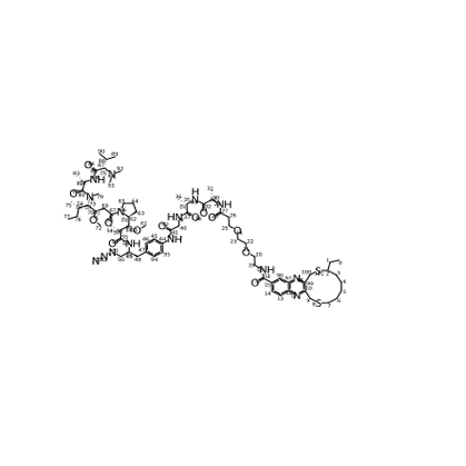 CCC1CCCCCSCc2nc3ccc(C(=O)NCCOCCOCCC(=O)N[C@@H](C)C(=O)N[C@@H](C)C(=O)NCC(=O)Nc4ccc(C[C@@H](CN=[N+]=[N-])NC(=O)[C@H](C)[C@@H](OC)[C@@H]5CCCN5C(=O)C[C@@H](OC)[C@H]([C@@H](C)CC)N(C)C(=O)[C@H](C)NC(=O)[C@H](C(C)C)N(C)C)cc4)cc3nc2CS1